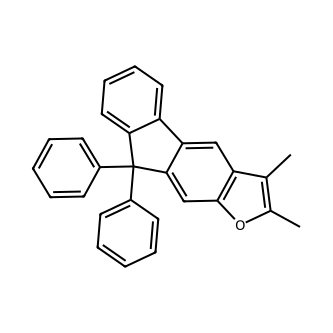 Cc1oc2cc3c(cc2c1C)-c1ccccc1C3(c1ccccc1)c1ccccc1